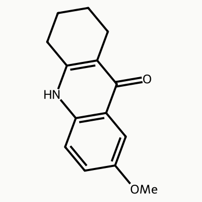 COc1ccc2[nH]c3c(c(=O)c2c1)CCCC3